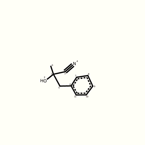 CC(O)(C#N)Cc1ccccc1